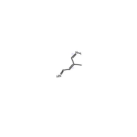 CC(/C=N\I)=C/C=N